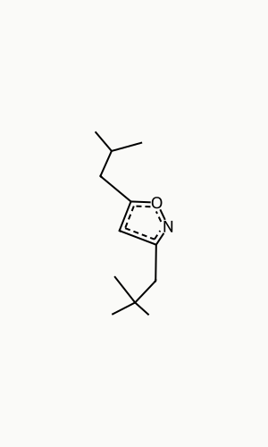 CC(C)Cc1cc(CC(C)(C)C)no1